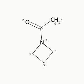 [CH2]C(=O)N1CCC1